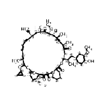 C#C[C@@H]1/C=C/C=C/C=C(\C)C(OC2CC2)C[C@@H]2CC[C@@H](C)[C@@](O)(O2)C(=O)C(=O)N2CCCCC2C(=O)O[C@H]([C@H](C)C[C@@H]2CC[C@@H](O)[C@H](OC)C2)CC(=O)[C@H](C)/C=C(\C)[C@@H](O)[C@@H](OC)C(=O)[C@H](C)C1